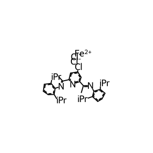 CC(=Nc1c(C(C)C)cccc1C(C)C)c1cc(Cl)cc(C(C)=Nc2c(C(C)C)cccc2C(C)C)n1.[Cl-].[Cl-].[Fe+2]